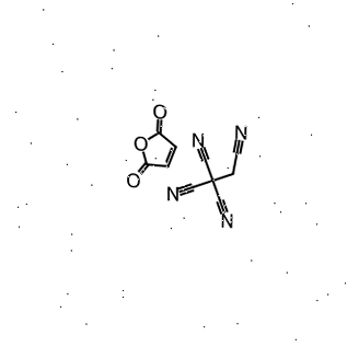 N#CCC(C#N)(C#N)C#N.O=C1C=CC(=O)O1